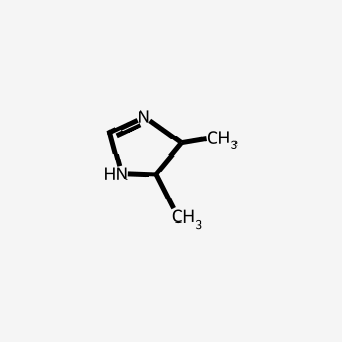 CC1N=CNC1C